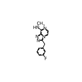 CNc1nccn2c(Cc3cccc(F)c3)nnc12